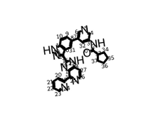 O=C(Nc1cncc(-c2ccc3[nH]nc(-c4nc5c(-c6ccccn6)nccc5[nH]4)c3c2)c1)C1CCCC1